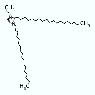 CCCCCCCCCCCCCCCCCCCC1N(CCC)C=CN1CCCCCCCCCCCCCCCCCC